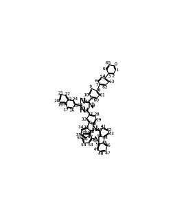 c1ccc(-c2ccc(-c3ccc(-c4nc(-c5ccc6ccccc6c5)nc(-c5ccc6c(c5)c5ccccc5n6-c5cccc6c7ccccc7n(-c7ccccc7)c56)n4)cc3)cc2)cc1